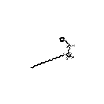 CCCCCCCCCCCCCCCCCCO[C@@H]1[C@@H](OC)[C@H](OC)O[C@@H]1COP(=O)(O)OCC[n+]1ccccc1